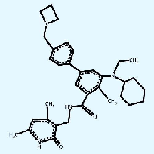 CCN(c1cc(-c2ccc(CN3CCC3)cc2)cc(C(=O)NCc2c(C)cc(C)[nH]c2=O)c1C)C1CCCCC1